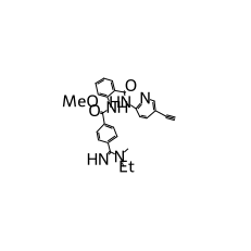 C#Cc1ccc(NC(=O)c2cccc(OC)c2NC(=O)c2ccc(C(=N)N(C)CC)cc2)nc1